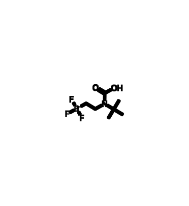 CC(C)(C)N(CC[B-](F)(F)F)C(=O)O